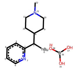 CCCCC(c1ccccn1)C1CCN(C)CC1.OB(O)O